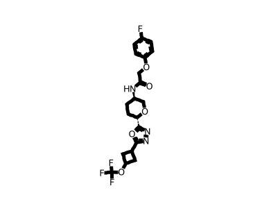 O=C(COc1ccc(F)cc1)N[C@@H]1CC[C@@H](c2nnc(C3CC(OC(F)(F)F)C3)o2)OC1